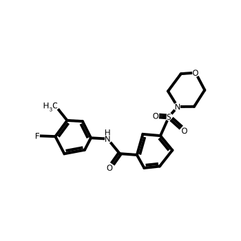 Cc1cc(NC(=O)c2cccc(S(=O)(=O)N3CCOCC3)c2)ccc1F